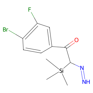 C[Si](C)(C)C(N=N)C(=O)c1ccc(Br)c(F)c1